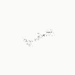 CNC(=N)NC(=N)N(C)Cc1ccc(CCNC(=N)NC(=N)NCc2ccc(CNC(=N)NC(=N)N(C)Cc3ccc(C)[nH]3)[nH]2)[nH]1